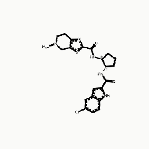 CN1CCc2nc(C(=O)N[C@H]3CCC[C@@H]3NC(=O)c3cc4cc(Cl)ccc4[nH]3)sc2C1